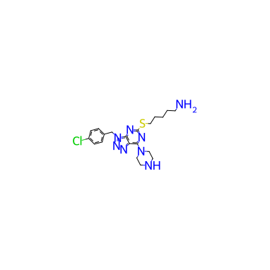 NCCCCCSc1nc(N2CCNCC2)c2nnn(Cc3ccc(Cl)cc3)c2n1